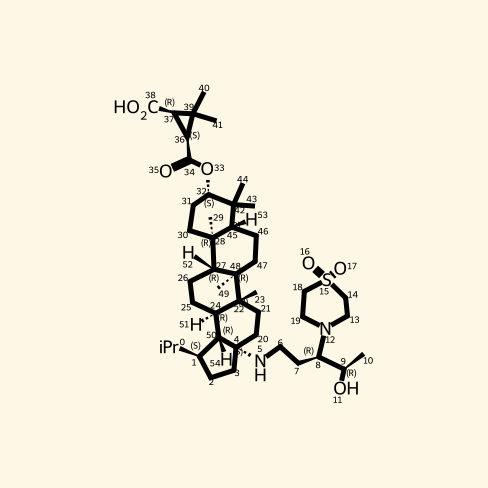 CC(C)[C@@H]1CC[C@]2(NCC[C@H]([C@@H](C)O)N3CCS(=O)(=O)CC3)CC[C@]3(C)[C@H](CC[C@@H]4[C@@]5(C)CC[C@H](OC(=O)[C@H]6[C@@H](C(=O)O)C6(C)C)C(C)(C)[C@@H]5CC[C@]43C)[C@@H]12